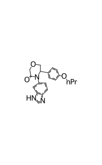 CCCOc1ccc(C2COCC(=O)N2c2ccc3nc[nH]c3c2)cc1